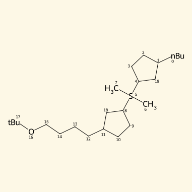 CCCCC1CCC(S(C)(C)C2CCC(CCCCOC(C)(C)C)C2)C1